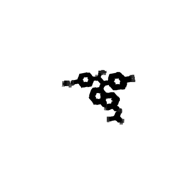 CCC[C@H](c1ccc(C(=O)O)cc1)C(c1ccc(Cl)cc1)c1cccc2nc(OC(F)F)ccc12